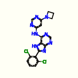 Clc1cccc(Cl)c1-c1nc2ncnc(Nc3cc(N4CCC4)ncn3)c2[nH]1